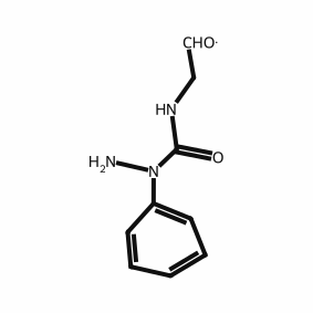 NN(C(=O)NC[C]=O)c1ccccc1